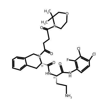 CC1(C)COCCN1C(=O)CCC(=O)N1Cc2ccccc2C[C@H]1C(=O)N[C@@H](CCN)C(=O)Nc1ccc(Cl)c(Cl)c1F